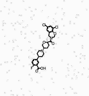 C[C@]1(C(=O)N2COc3c(Cl)cc(Cl)cc3C2)CC[C@@H](N2CCC(c3ccc(F)c(C(=O)O)c3)CC2)CO1